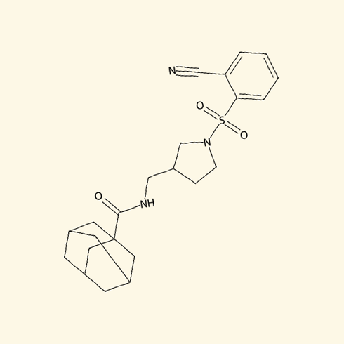 N#Cc1ccccc1S(=O)(=O)N1CCC(CNC(=O)C23CC4CC(CC(C4)C2)C3)C1